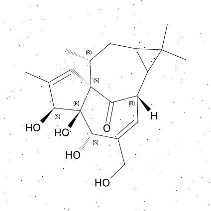 CC1=C[C@]23C(=O)[C@@H](C=C(CO)[C@H](O)[C@]2(O)[C@H]1O)C1C(C[C@H]3C)C1(C)C